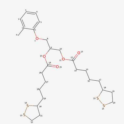 Cc1ccccc1OCC(COC(=O)CCCCC1CCSS1)OC(=O)CCCCC1CCSS1